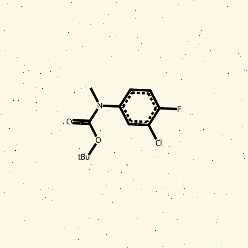 CN(C(=O)OC(C)(C)C)c1ccc(F)c(Cl)c1